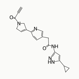 C#CC(=O)N1CC=C(c2ccc(CC(=O)Nc3cc(C4CC4)[nH]n3)cn2)C1